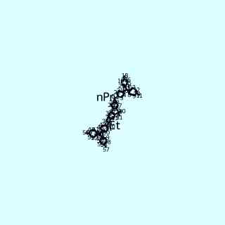 CCCC1(c2ccc(N(c3ccc(C)cc3)c3ccc(C)cc3)cc2)c2cc3c(cc21)C(C)(C)c1cc2c(cc1-3)CC2(CC)c1ccc(N(c2ccc(C)cc2)c2ccc(C)cc2)cc1